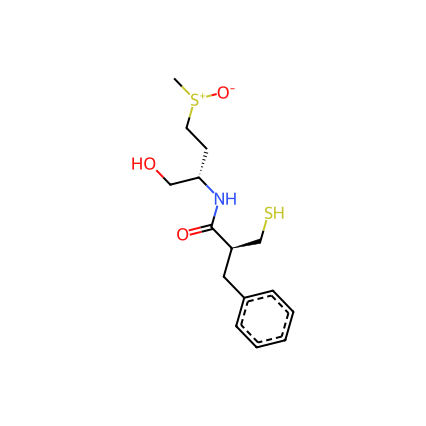 C[S+]([O-])CC[C@@H](CO)NC(=O)[C@@H](CS)Cc1ccccc1